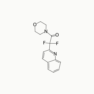 O=C(N1CCOCC1)C(F)(F)c1ccc2ccccc2n1